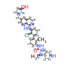 Cc1c(NC(=O)c2nc3c(n2C)CCNC3)cccc1-c1cccc(Nc2nccc3cc(CN4CC[C@@H](O)C4)cnc23)c1Cl